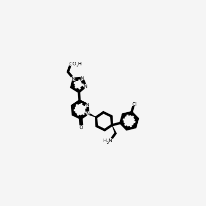 NC[C@]1(c2cccc(Cl)c2)CC[C@H](n2nc(-c3cn(CC(=O)O)nn3)ccc2=O)CC1